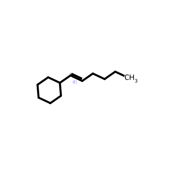 CCCC/C=[C]/C1CCCCC1